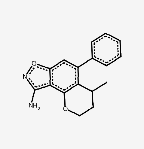 CC1CCOc2c1c(-c1ccccc1)cc1onc(N)c21